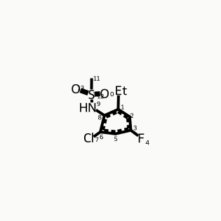 CCc1cc(F)cc(Cl)c1NS(C)(=O)=O